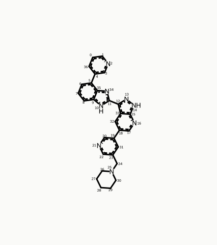 c1cncc(-c2cccc3[nH]c(-c4n[nH]c5ncc(-c6cncc(CN7CCCCC7)c6)cc45)nc23)c1